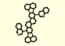 c1ccc2ncc(-c3c4c(cc5c3ccc3c6cc7c(c(-c8cncc9ccccc89)c6ccc53)-c3cccc5cccc-7c35)-c3cccc5cccc-4c35)cc2c1